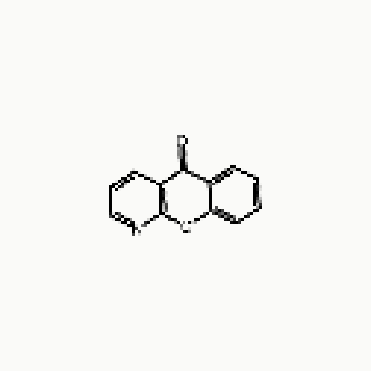 O=c1c2[c]ccnc2oc2ccccc12